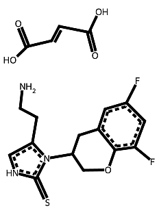 NCCc1c[nH]c(=S)n1C1COc2c(F)cc(F)cc2C1.O=C(O)C=CC(=O)O